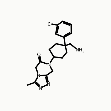 Cc1nnc2n1CC(=O)N(C1CCC(CN)(c3cccc(Cl)c3)CC1)C2